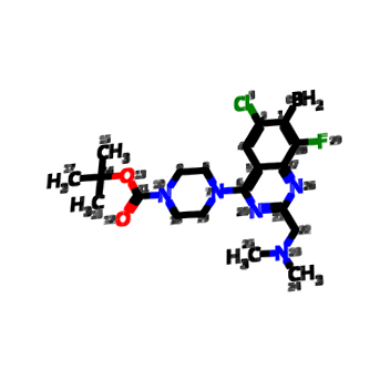 Bc1c(Cl)cc2c(N3CCN(C(=O)OC(C)(C)C)CC3)nc(CN(C)C)nc2c1F